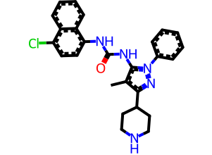 Cc1c(C2CCNCC2)nn(-c2ccccc2)c1NC(=O)Nc1ccc(Cl)c2ccccc12